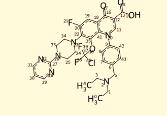 CCN(CC)Cc1ccc(-n2cc(C(=O)O)c(=O)c3cc(F)c(N4CCN(c5ncccn5)CC4)c(OC(F)(F)Cl)c32)cc1